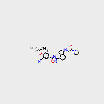 CC(C)Oc1ccc(-c2nc(-c3cccc4c3CC/C4=N/CC(=O)N3CCCC3)no2)cc1C#N